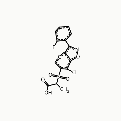 CC(C(=O)O)S(=O)(=O)c1ccc2c(-c3ccccc3F)noc2c1Cl